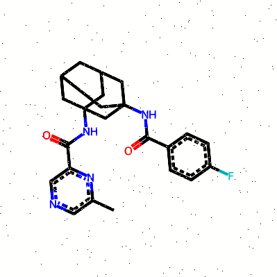 Cc1cncc(C(=O)NC23CC4CC(CC(NC(=O)c5ccc(F)cc5)(C4)C2)C3)n1